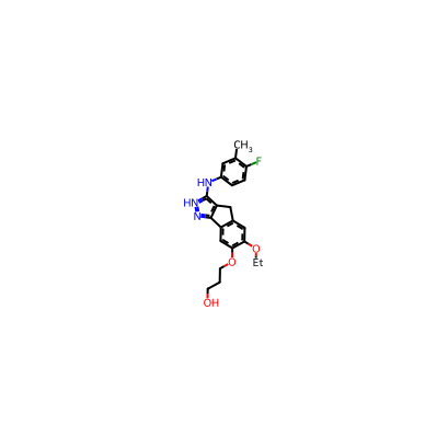 CCOc1cc2c(cc1OCCCO)-c1n[nH]c(Nc3ccc(F)c(C)c3)c1C2